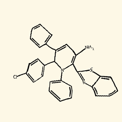 NC1=C(c2nc3ccccc3s2)N(c2ccccc2)C(c2ccc(Cl)cc2)C(c2ccccc2)=C1